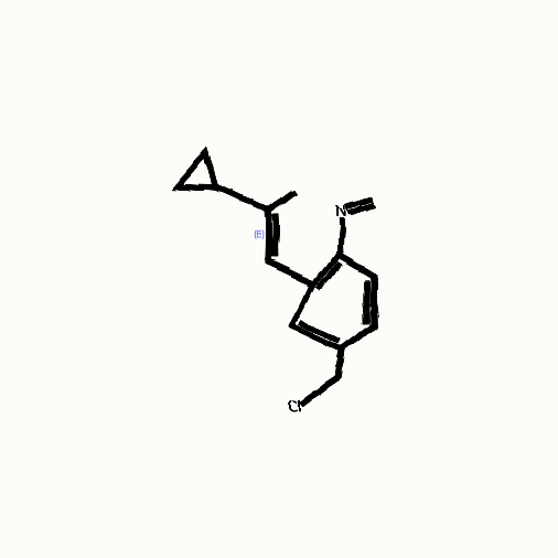 C=Nc1ccc(CCl)cc1/C=C(\C)C1CC1